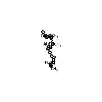 Cc1ccc(C)c(-c2ccc3cc(F)c(C4CCC(C5CCC(c6c(F)ccc7c6ccc(-c6cc(C)cc(CCc8cc(C)c(C)c(-c9ccc%10cc(F)c(C%11CCCCC%11)cc%10[n+]9C)c8)c6C)[n+]7C)CC5)CC4)cc3[n+]2C)c1